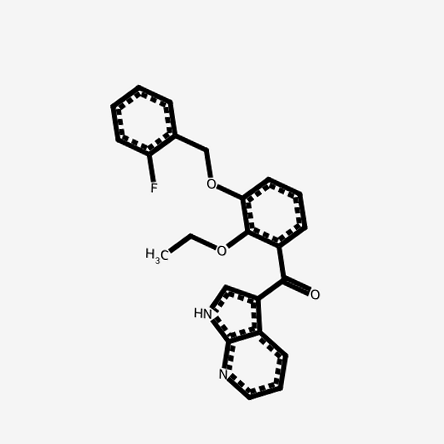 CCOc1c(OCc2ccccc2F)cccc1C(=O)c1c[nH]c2ncccc12